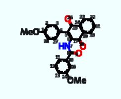 COc1ccc(C2=C(NC(=O)c3cccc(OC)c3)C(=O)c3ccccc3C2=O)cc1